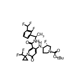 CC(NC(=O)c1cn(C2(C(F)F)CC2)c(=O)cc1N[C@H]1CCN(C(=O)OC(C)(C)C)C[C@H]1F)c1cccc(C(F)F)c1F